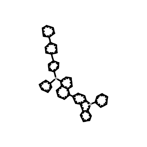 c1ccc(-c2ccc(-c3ccc(N(c4ccccc4)c4cccc5c(-c6ccc7c(c6)c6ccccc6n7-c6ccccc6)cccc45)cc3)cc2)cc1